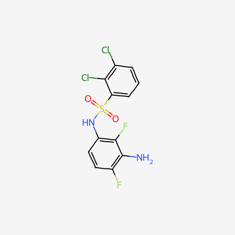 Nc1c(F)ccc(NS(=O)(=O)c2cccc(Cl)c2Cl)c1F